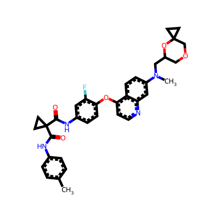 Cc1ccc(NC(=O)C2(C(=O)Nc3ccc(Oc4ccnc5cc(N(C)CC6COCC7(CC7)O6)ccc45)c(F)c3)CC2)cc1